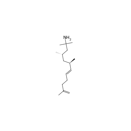 C=C(C)CC/C=C/[C@H](C)C[C@H](C)CC(C)(C)N